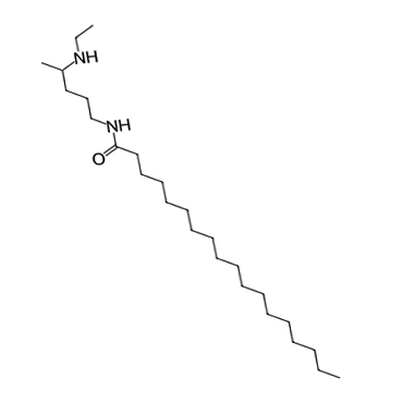 CCCCCCCCCCCCCCCCCC(=O)NCCCC(C)NCC